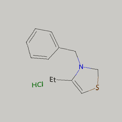 CCC1=CSCN1Cc1ccccc1.Cl